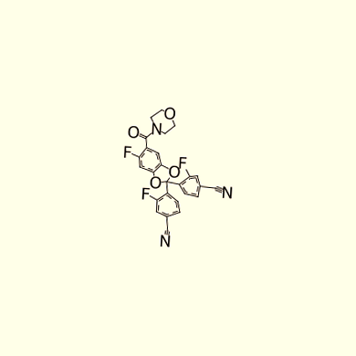 N#Cc1ccc(C2(c3ccc(C#N)cc3F)Oc3cc(F)c(C(=O)N4CCOCC4)cc3O2)c(F)c1